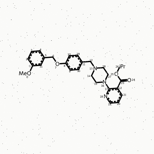 COc1cccc(COc2ccc(CN3CCN(c4ncccc4C(=O)OC(C)C)CC3)cc2)c1